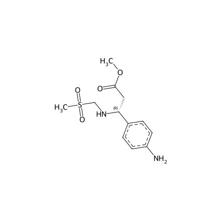 COC(=O)C[C@@H](NCS(C)(=O)=O)c1ccc(N)cc1